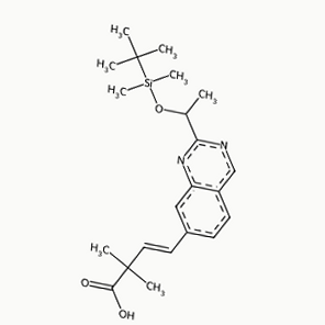 CC(O[Si](C)(C)C(C)(C)C)c1ncc2ccc(C=CC(C)(C)C(=O)O)cc2n1